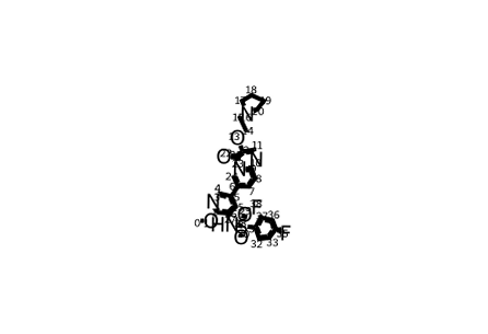 COc1ncc(-c2ccc3ncc(OCCN4CCCC4)c(=O)n3c2)cc1NS(=O)(=O)c1ccc(F)cc1F